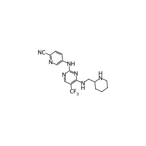 N#Cc1ccc(Nc2ncc(C(F)(F)F)c(NCC3CCCCN3)n2)cn1